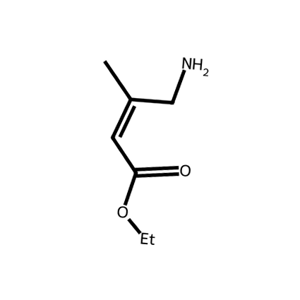 CCOC(=O)C=C(C)CN